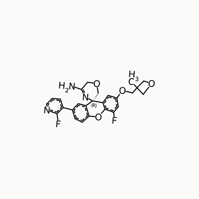 CC1(COc2cc(F)c3c(c2)[C@@]2(COCC(N)=N2)c2cc(-c4cccnc4F)ccc2O3)COC1